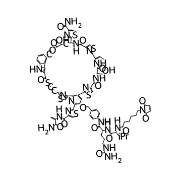 C=C(NC(=O)c1csc(-c2nc3c(cc2OCc2ccc(NC(=O)[C@H](CCCNC(N)=O)NC(=O)[C@@H](NC(=O)CCCCCN4C(=O)C=CC4=O)C(C)C)cc2)-c2nc(cs2)C(=O)N[C@@H]([C@@H](C)O)C(=O)N/C(=C\C)c2nc(cs2)C(=O)N[C@H](c2nc(C(N)=O)cs2)C[C@H](O)C(=O)OCc2cccc4[nH]c(c(C)c24)C(=O)SCCc2nc-3cs2)n1)C(N)=O